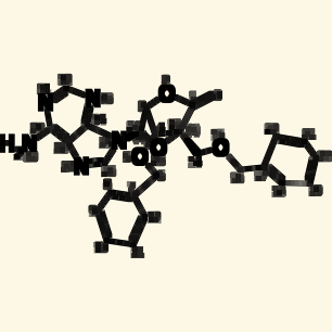 C=C1OC2C(OCc3ccccc3)[C@@]1(COCc1ccccc1)O[C@H]2n1cnc2c(N)ncnc21